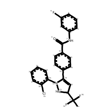 O=C(Nc1cccc(F)c1)c1ccc(C2=CC(C(F)(F)F)NN2c2ccccc2Cl)cc1